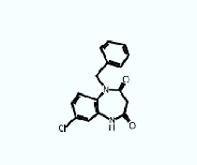 O=C1CC(=O)N(Cc2ccccc2)c2ccc(Cl)cc2N1